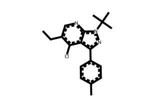 CCc1cnc2c(c(-c3ccc(C)cc3)nn2C(C)(C)C)c1Cl